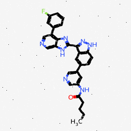 CCCCC(=O)Nc1cncc(-c2ccc3[nH]nc(-c4nc5c(-c6cccc(F)c6)cncc5[nH]4)c3c2)c1